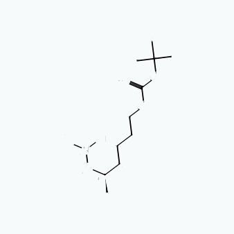 C[C@H](CCCCOC(=O)OC(C)(C)C)ON(O)O